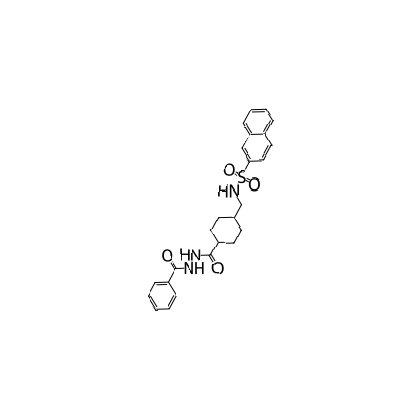 O=C(NNC(=O)C1CCC(CNS(=O)(=O)c2ccc3ccccc3c2)CC1)c1ccccc1